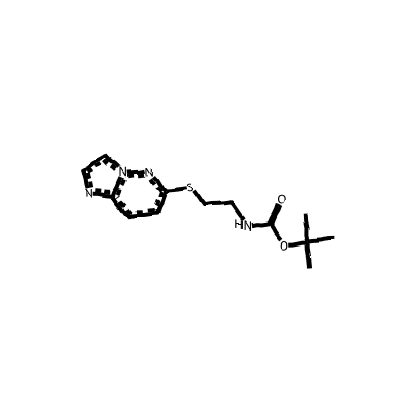 CC(C)(C)OC(=O)NCCSc1ccc2nccn2n1